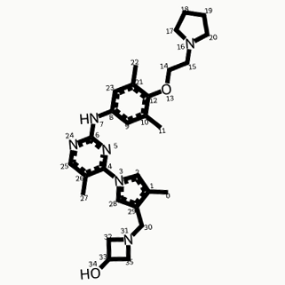 Cc1cn(-c2nc(Nc3cc(C)c(OCCN4CCCC4)c(C)c3)ncc2C)cc1CN1CC(O)C1